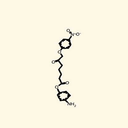 Nc1ccc(OC(=O)CCCCC(=O)COc2ccc([N+](=O)[O-])cc2)cc1